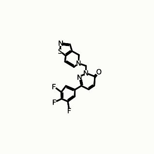 O=c1ccc(-c2cc(F)c(F)c(F)c2)nn1CN1C=Cc2sncc2C1